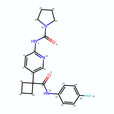 O=C(Nc1ccc(C2(C(=O)Nc3ccc(F)cc3)CCC2)cn1)N1CCCC1